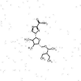 CCN(CC)P(C)OC[C@H]1O[C@@H](n2cnc(C(N)=O)n2)C(C)C1C